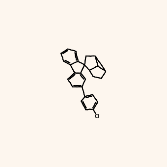 Clc1ccc(-c2ccc3c(c2)C2(CC4C5CCC2C54)c2ccccc2-3)cc1